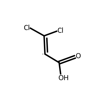 O=C(O)[C]=C(Cl)Cl